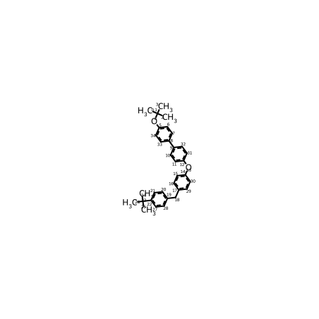 CC(C)(C)Oc1ccc(-c2ccc(Oc3ccc(Cc4ccc(C(C)(C)C)cc4)cc3)cc2)cc1